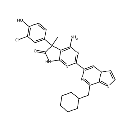 CC1(c2ccc(O)c(Cl)c2)C(=O)Nc2nc(-c3cn4ccnc4c(CC4CCCCC4)n3)nc(N)c21